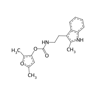 Cc1cc(OC(=O)NCCc2c(C)[nH]c3ccccc23)c(C)o1